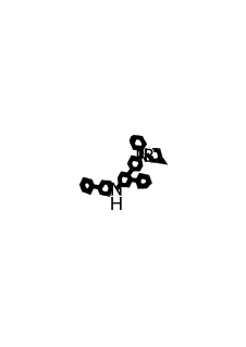 C1#CCCC(N(B2CCC3=CC3C2)C2=CCC(C3=CCC(NC4=CC=C(c5ccccc5)CC4)C=C3c3ccccc3)C=C2)=C1